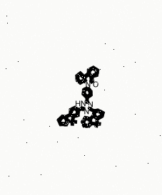 CC1(C)c2ccccc2-c2ccc(C3=NC(c4cccc5c4-c4ccccc4C5(C)C)=NC(c4ccc(-n5c(=O)c6ccccc6c6ccccc65)cc4)N3)cc21